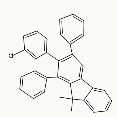 CC1(C)c2ccccc2-c2cc(-c3ccccc3)c(-c3cccc(Cl)c3)c(-c3ccccc3)c21